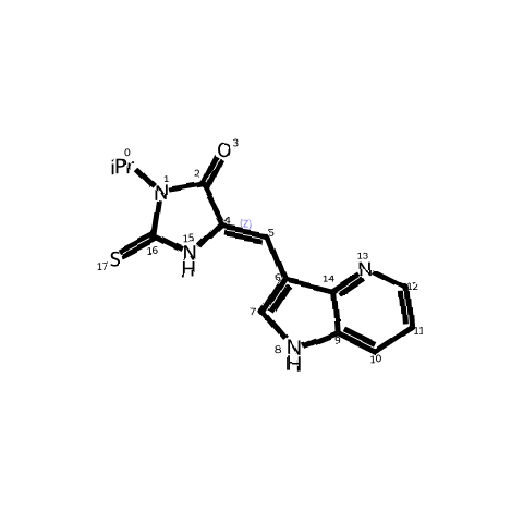 CC(C)N1C(=O)/C(=C/c2c[nH]c3cccnc23)NC1=S